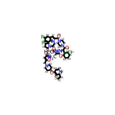 CN[C@@H](C)C(=O)N[C@H](C(=O)N1CCN(C(=O)c2cc3cc(F)c(F)cc3n2CC(=O)N2CCC[C@H]2COc2cc(CN3CCC(Oc4ccnc5ccsc45)CC3)on2)CC1)C1CCCCC1.Cl